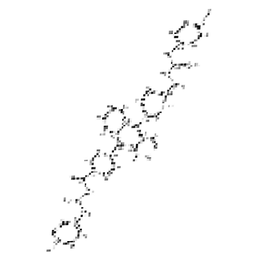 Cc1ccc(OC(=S)OC(C)c2ccc(-c3c4ccccc4c(-c4ccc(C(C)OC(=S)Oc5ccc(C)cc5)cc4)c4ccccc34)cc2)cc1